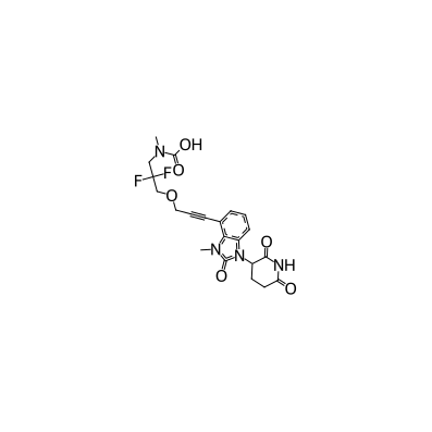 CN(CC(F)(F)COCC#Cc1cccc2c1n(C)c(=O)n2C1CCC(=O)NC1=O)C(=O)O